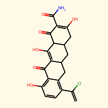 C=C(Cl)c1ccc(O)c2c1CC1CC3CC(O)=C(C(N)=O)C(=O)C3C(O)=C1C2=O